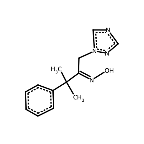 CC(C)(C(Cn1cncn1)=NO)c1ccccc1